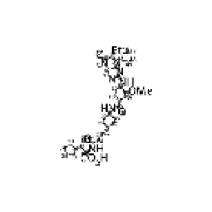 CC[C@@H]1C(=O)N(C)c2cnc(Nc3ccc(C(=O)Nc4ccc(CCCC(=O)N[C@H](C(=O)O)C(C(C)C)C5CCCC5)cc4)cc3OC)nc2N1C1CCCC1